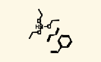 C=CC=C.C=Cc1ccccc1.CCO[SiH](OCC)OCC